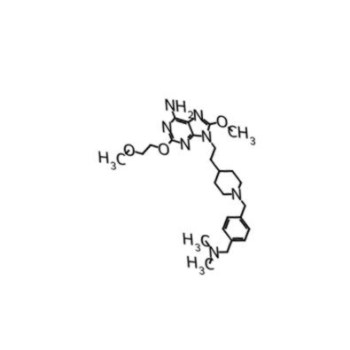 COCCOc1nc(N)c2nc(OC)n(CCC3CCN(Cc4ccc(CN(C)C)cc4)CC3)c2n1